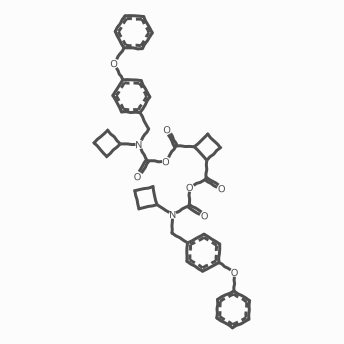 O=C(OC(=O)N(Cc1ccc(Oc2ccccc2)cc1)C1CCC1)C1CCC1C(=O)OC(=O)N(Cc1ccc(Oc2ccccc2)cc1)C1CCC1